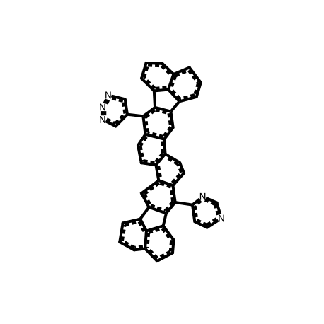 c1cc2c3c(cccc3c1)-c1c-2cc2c(ccc3c4cc5c(c(-c6ccncn6)c4ccc23)-c2cccc3cccc-5c23)c1-c1cnnnc1